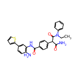 CCN(C(=O)C(C(N)=O)c1ccc(C(=O)Nc2cc(-c3cccs3)ccc2N)cc1)c1ccccc1